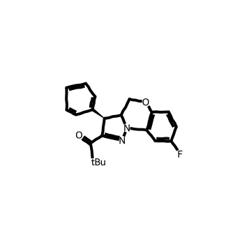 CC(C)(C)C(=O)C1=NN2c3cc(F)ccc3OCC2[C@@H]1c1ccccc1